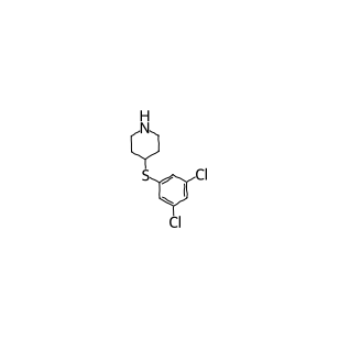 Clc1cc(Cl)cc(SC2CCNCC2)c1